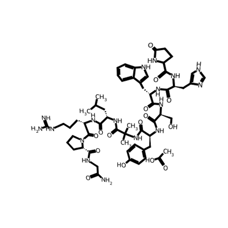 CC(=O)O.CC(C)C[C@H](NC(=O)C(C)(C)NC(=O)[C@H](Cc1ccc(O)cc1)NC(=O)[C@H](CO)NC(=O)[C@H](Cc1c[nH]c2ccccc12)NC(=O)[C@H](Cc1c[nH]cn1)NC(=O)C1CCC(=O)N1)C(=O)N[C@@H](CCCNC(=N)N)C(=O)N1CCC[C@H]1C(=O)NCC(N)=O